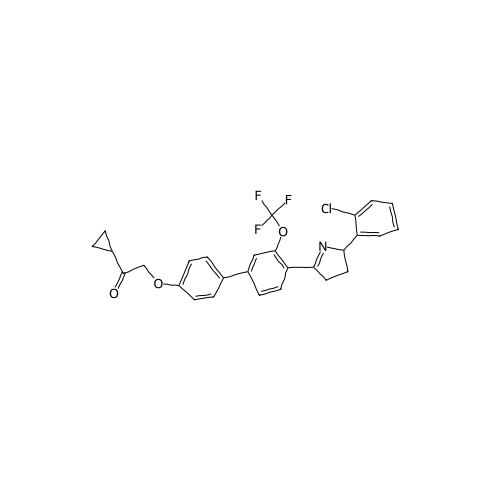 O=C(COc1ccc(-c2ccc(C3=NC(c4ccccc4Cl)CC3)c(OC(F)(F)F)c2)cc1)C1CC1